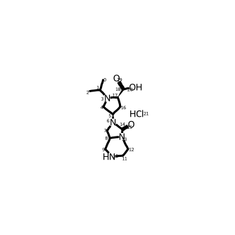 CC(C)N1C[C@H](N2CC3CNCCN3C2=O)C[C@@H]1C(=O)O.Cl